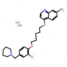 Cl.Cl.FC(F)(F)c1ccc2c(SCCCCCOc3ccc(CN4CCCCC4)cc3Cl)ccnc2c1